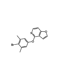 Cc1cc(Oc2nccc3occc23)cc(C)c1Br